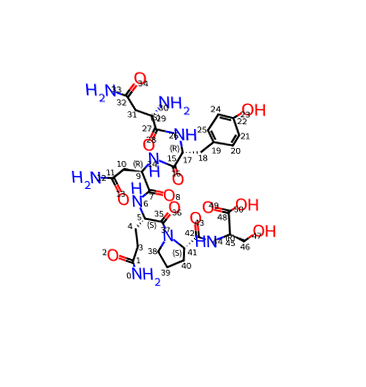 NC(=O)CC[C@H](NC(=O)[C@@H](CC(N)=O)NC(=O)[C@@H](Cc1ccc(O)cc1)NC(=O)[C@@H](N)CC(N)=O)C(=O)N1CCC[C@H]1C(=O)N[C@H](CO)C(=O)O